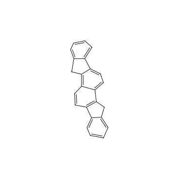 c1ccc2c(c1)Cc1c-2ccc2c3c(ccc12)-c1ccccc1C3